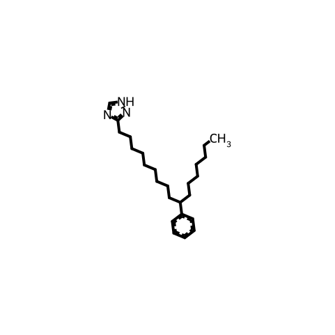 CCCCCCCC(CCCCCCCCCc1nc[nH]n1)c1ccccc1